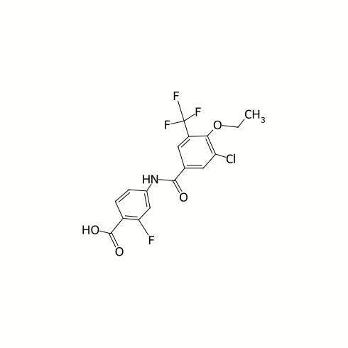 CCOc1c(Cl)cc(C(=O)Nc2ccc(C(=O)O)c(F)c2)cc1C(F)(F)F